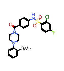 COc1ccccc1N1CCN(C(=O)c2ccc(NS(=O)(=O)c3ccc(F)cc3Cl)cc2)CC1